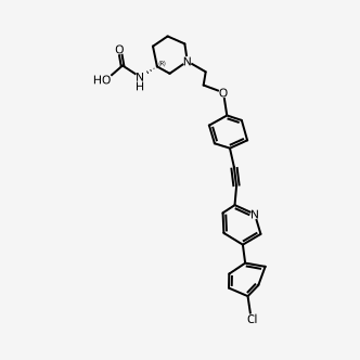 O=C(O)N[C@@H]1CCCN(CCOc2ccc(C#Cc3ccc(-c4ccc(Cl)cc4)cn3)cc2)C1